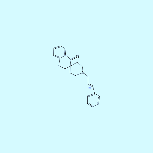 O=C1c2ccccc2CCC12CCN(C/C=C/c1ccccc1)CC2